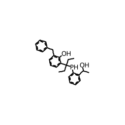 CCC(CC)(Pc1ccccc1C(C)O)c1cccc(Cc2ccccc2)c1O